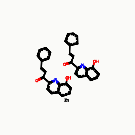 O=C(C=Cc1ccccc1)c1ccc2cccc(O)c2n1.O=C(C=Cc1ccccc1)c1ccc2cccc(O)c2n1.[Zn]